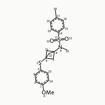 COc1ccc(SC23CC(N(C)S(=O)(=O)c4ccc(C)cc4)(C2)C3)cc1